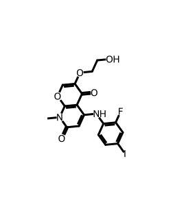 Cn1c(=O)cc(Nc2ccc(I)cc2F)c2c(=O)c(OCCO)coc21